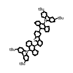 CC(C)(C)c1ccc2c(c1)c1cc(C(C)(C)C)ccc1n2-c1c2ccccc2c(-c2ccc3sc4c(-c5c6ccccc6c(-n6c7ccc(C(C)(C)C)cc7c7cc(C(C)(C)C)ccc76)c6ccccc56)cccc4c3c2)c2ccccc12